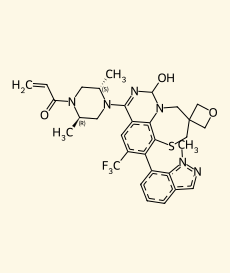 C=CC(=O)N1C[C@H](C)N(C2=NC(O)N3CC4(COC4)CSc4c(-c5cccc6cnn(C)c56)c(C(F)(F)F)cc2c43)C[C@H]1C